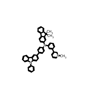 CN1C=CC=C(c2cccc(N(c3ccc(-c4ccc5c(c4)c4ccccc4n5-c4ccccc4)cc3)c3ccc4c(c3)C(C)(C)c3ccccc3-4)c2)C1